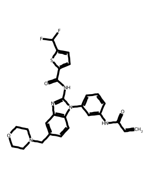 C=CC(=O)Nc1cccc(-n2c(NC(=O)c3ccc(C(F)F)s3)nc3cc(CN4CCOCC4)ccc32)c1